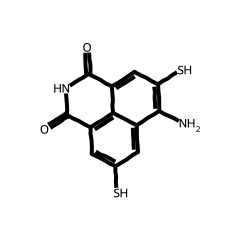 Nc1c(S)cc2c3c(cc(S)cc13)C(=O)NC2=O